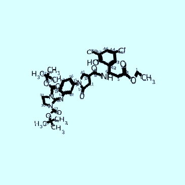 CCOC(=O)CC(NC(=O)C1CC(=O)N(c2cccc(N=C3N(C(=O)OC(C)(C)C)CCN3C(=O)OC(C)(C)C)c2)C1)c1cc(Cl)cc(Cl)c1O